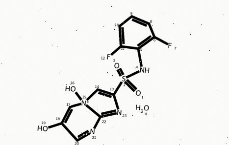 O.O=S(=O)(Nc1c(F)cccc1F)C1=C[N+]2(O)C=C(O)C=NC2=N1